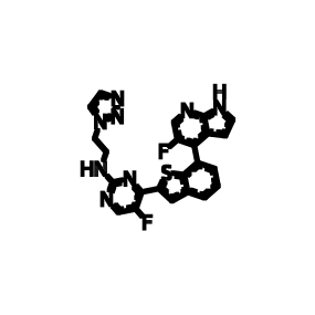 Fc1cnc(NCCn2ccnn2)nc1-c1cc2cccc(-c3c(F)cnc4[nH]ccc34)c2s1